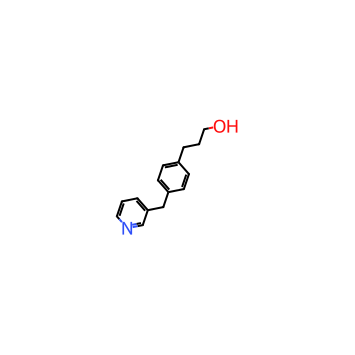 OCCCc1ccc(Cc2cccnc2)cc1